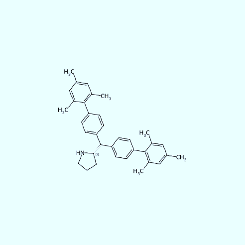 Cc1cc(C)c(-c2ccc(C(c3ccc(-c4c(C)cc(C)cc4C)cc3)[C@@H]3CCCN3)cc2)c(C)c1